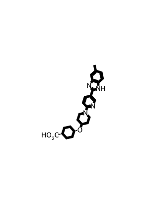 Cc1ccc2[nH]c(-c3ccc(N4CCC(O[C@H]5CC[C@@H](C(=O)O)CC5)CC4)nc3)nc2c1